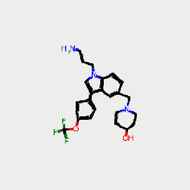 NCCCn1cc(-c2ccc(OC(F)(F)F)cc2)c2cc(CN3CCC(O)CC3)ccc21